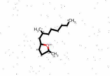 CCCCCCC(C)CC1CCC(C)O1